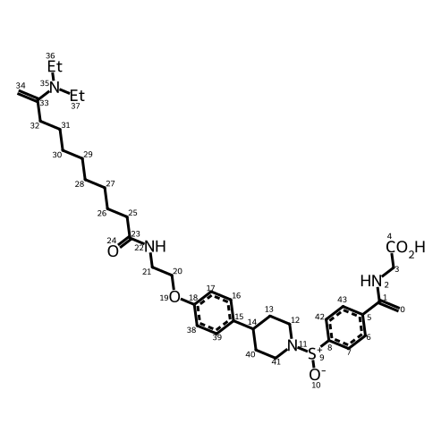 C=C(NCC(=O)O)c1ccc([S+]([O-])N2CCC(c3ccc(OCCNC(=O)CCCCCCCCC(=C)N(CC)CC)cc3)CC2)cc1